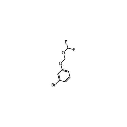 FC(F)OCOc1cccc(Br)c1